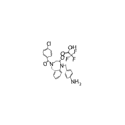 Nc1ccc(CN2C(=O)CN(C(=O)c3ccc(Cl)cc3)Cc3ccccc32)cc1.O=C(O)C(F)(F)F